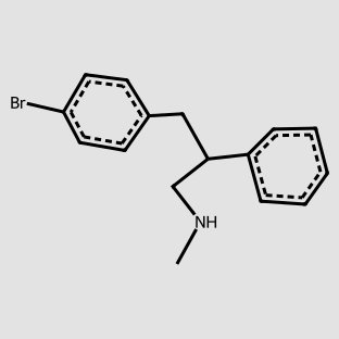 CNCC(Cc1ccc(Br)cc1)c1ccccc1